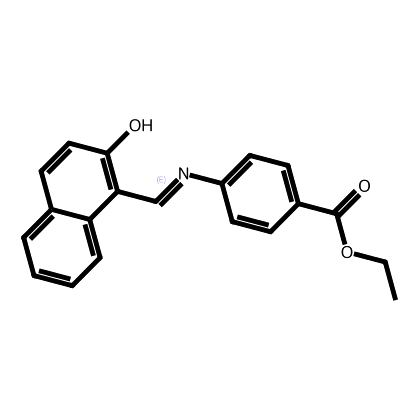 CCOC(=O)c1ccc(/N=C/c2c(O)ccc3ccccc23)cc1